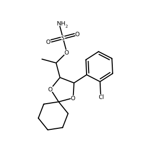 CC(OS(N)(=O)=O)C1OC2(CCCCC2)OC1c1ccccc1Cl